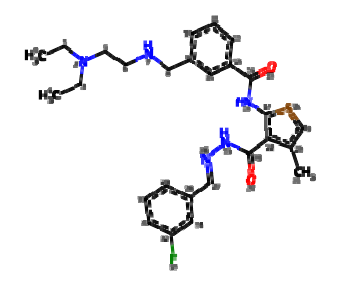 CCN(CC)CCNCc1cccc(C(=O)Nc2scc(C)c2C(=O)N/N=C/c2cccc(F)c2)c1